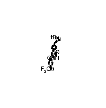 CC(C)(C)[Si](C)(C)OCCc1ccc(-n2ccc(NC(=O)N3CCN(C(=O)C(F)(F)F)CC3)nc2=O)cc1